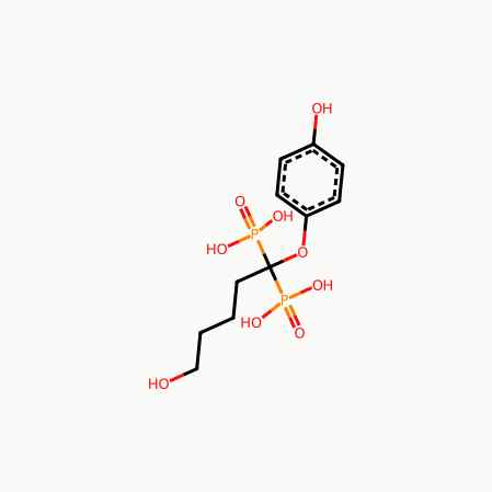 O=P(O)(O)C(CCCCO)(Oc1ccc(O)cc1)P(=O)(O)O